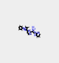 Cc1cn(-c2ccccc2)nc1-c1ccnc(C(N)CNc2ccccn2)n1